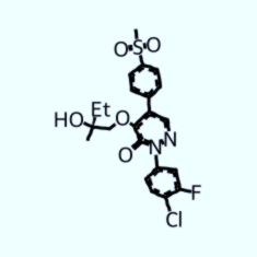 CC[C@@](C)(O)COc1c(-c2ccc(S(C)(=O)=O)cc2)cnn(-c2ccc(Cl)c(F)c2)c1=O